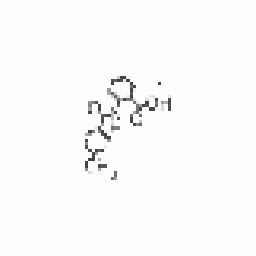 Cc1ccc(C(=O)Nc2ccccc2C(=O)O)cc1